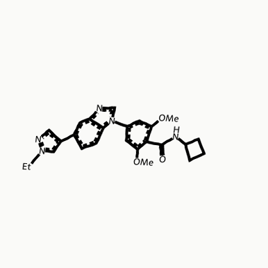 CCn1cc(-c2ccc3c(c2)ncn3-c2cc(OC)c(C(=O)NC3CCC3)c(OC)c2)cn1